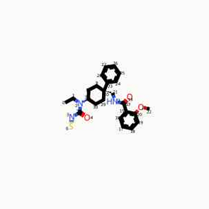 CCN(C(=O)N=S)[C@H]1CC[C@@](CNC(=O)c2ccccc2OC)(c2ccccc2)CC1